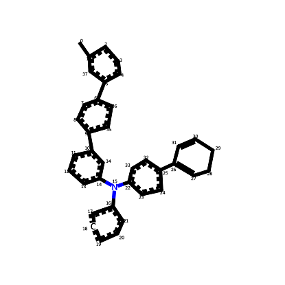 Cc1cccc(-c2ccc(-c3cccc(N(c4ccccc4)c4ccc(C5=CCCC=C5)cc4)c3)cc2)c1